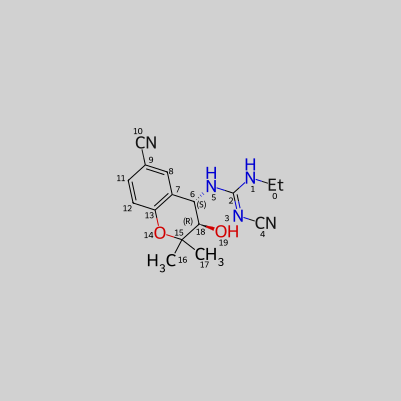 CCNC(=NC#N)N[C@H]1c2cc(C#N)ccc2OC(C)(C)[C@@H]1O